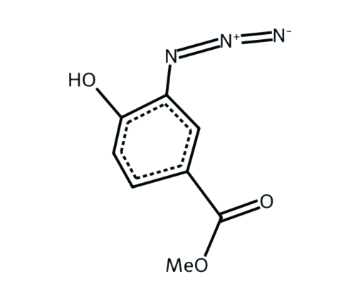 COC(=O)c1ccc(O)c(N=[N+]=[N-])c1